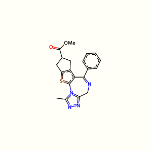 COC(=O)C1Cc2sc3c(c2C1)C(c1ccccc1)=NCc1nnc(C)n1-3